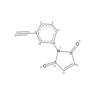 C#Cc1cccc(N2C(=O)C=CC2=O)c1